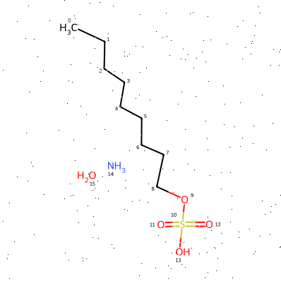 CCCCCCCCCOS(=O)(=O)O.N.O